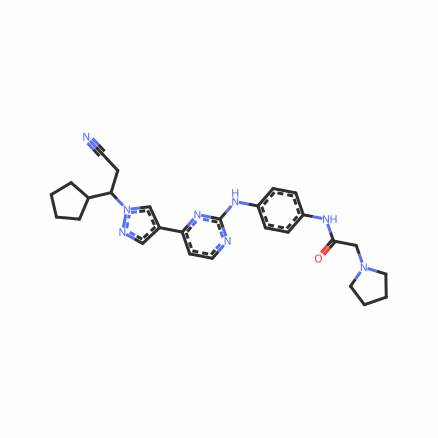 N#CCC(C1CCCC1)n1cc(-c2ccnc(Nc3ccc(NC(=O)CN4CCCC4)cc3)n2)cn1